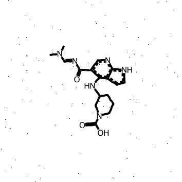 CN(C)C=NC(=O)c1cnc2[nH]ccc2c1NC1CCCN(C(=O)O)C1